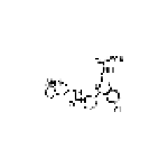 CNCC(CC1CCCC1)NC(=O)N1CCCC(C(OCCNC(=O)OC)c2cc(Cl)ccc2C)C1